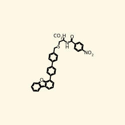 O=C(NC(CSCc1ccc(-c2ccc(-c3cccc4c3oc3ccccc34)cc2)cc1)C(=O)O)c1ccc([N+](=O)[O-])cc1